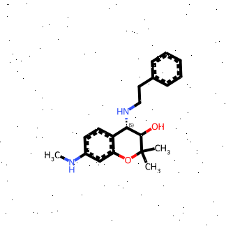 CNc1ccc2c(c1)OC(C)(C)C(O)[C@H]2NCCc1ccccc1